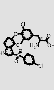 N[C@@H](Cc1cc(Cl)c(Oc2ccc3[nH]cc(S(=O)(=O)c4ccc(Cl)cc4)c3c2)c(Cl)c1)C(=O)O